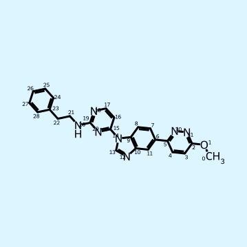 COc1ccc(-c2ccc3c(c2)ncn3-c2ccnc(NCCc3ccccc3)n2)nn1